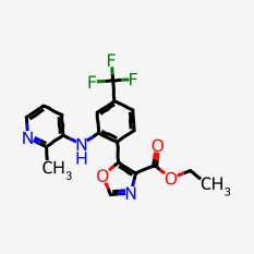 CCOC(=O)c1ncoc1-c1ccc(C(F)(F)F)cc1Nc1cccnc1C